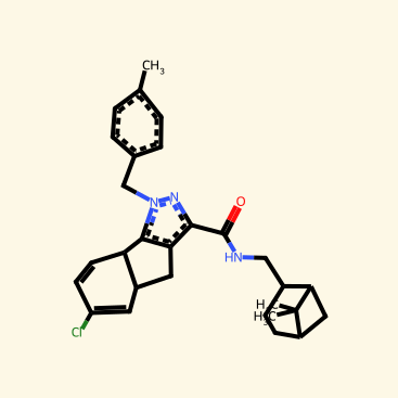 Cc1ccc(Cn2nc(C(=O)NCC3CCC4CC3C4(C)C)c3c2C2C=CC(Cl)=CC2C3)cc1